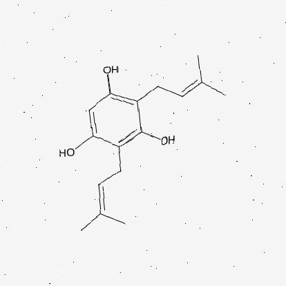 CC(C)=CCc1c(O)[c]c(O)c(CC=C(C)C)c1O